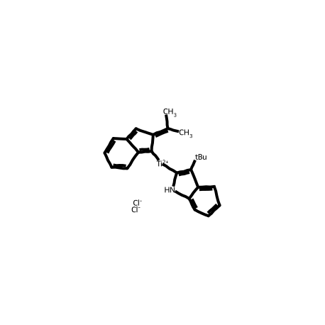 CC(C)=C1C=c2ccccc2=[C]1[Ti+2][c]1[nH]c2ccccc2c1C(C)(C)C.[Cl-].[Cl-]